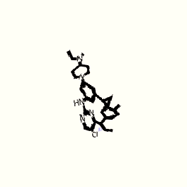 C/C=C(\c1ccc(C)cc1)c1nc(Nc2cc(C3CC3)cc(N3CCC(N(C)CC)CC3)c2)ncc1Cl